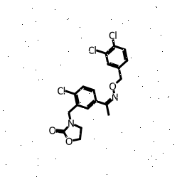 CC(=NOCc1ccc(Cl)c(Cl)c1)c1ccc(Cl)c(CN2CCOC2=O)c1